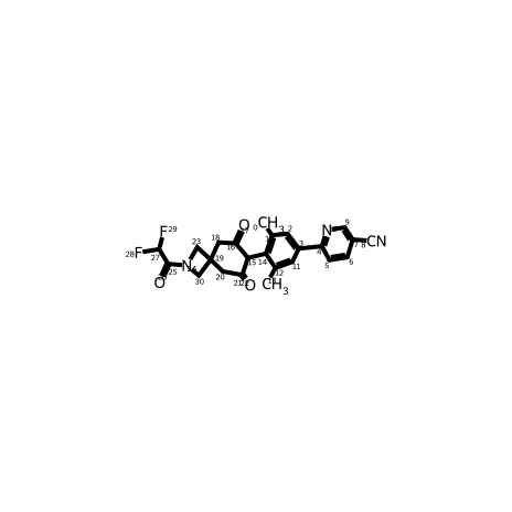 Cc1cc(-c2ccc(C#N)cn2)cc(C)c1C1C(=O)CC2(CC1=O)CN(C(=O)C(F)F)C2